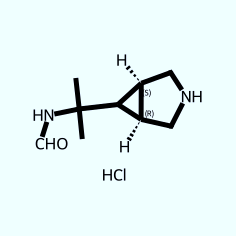 CC(C)(NC=O)C1[C@H]2CNC[C@@H]12.Cl